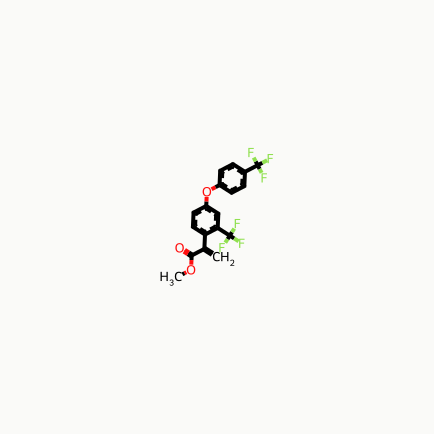 C=C(C(=O)OC)c1ccc(Oc2ccc(C(F)(F)F)cc2)cc1C(F)(F)F